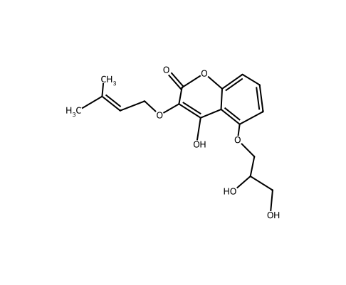 CC(C)=CCOc1c(O)c2c(OCC(O)CO)cccc2oc1=O